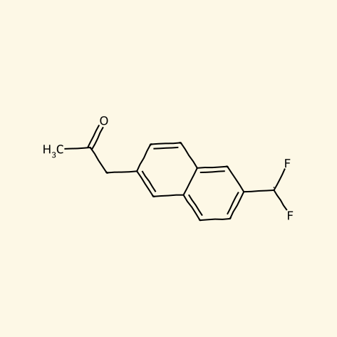 CC(=O)Cc1ccc2cc([C](F)F)ccc2c1